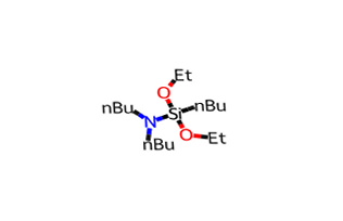 CCCCN(CCCC)[Si](CCCC)(OCC)OCC